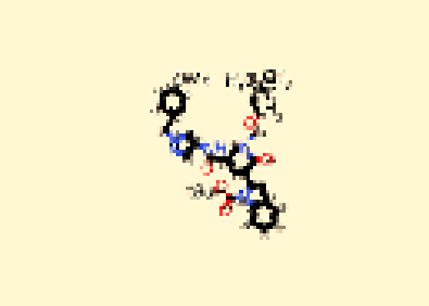 COc1ccc(Cn2cc(NC(=O)c3cc(-c4cc5ccccc5n4C(=O)OC(C)(C)C)c(=O)n(COCC[Si](C)(C)C)c3)cn2)cc1